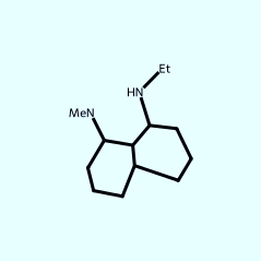 CCNC1CCCC2CCCC(NC)C21